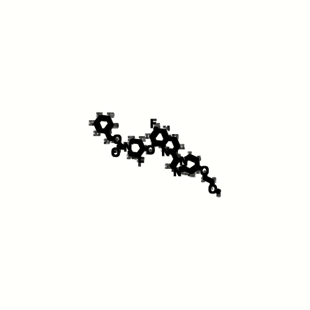 COCCOc1ccn2c(-c3ccc4cc(F)cc(O[C@@H]5CCN(C(=O)OCc6ccccc6)C[C@H]5F)c4n3)cnc2c1